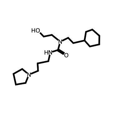 O=C(NCCCN1CCCC1)N(CCO)CCC1CCCCC1